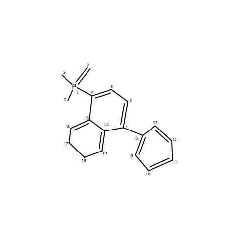 C=P(C)(C)c1ccc(-c2ccccc2)c2c1=CCCC=2